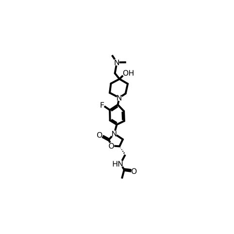 CC(=O)NC[C@H]1CN(c2ccc(N3CCC(O)(CN(C)C)CC3)c(F)c2)C(=O)O1